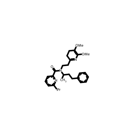 COC1=C(OC)N=C(CCN(C(=O)c2cccc(C(C)C)n2)C(C)CCc2ccccc2)CC1